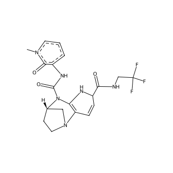 Cn1cccc(NC(=O)N2C3=C(C=CC(C(=O)NCC(F)(F)F)N3)N3CC[C@H]2C3)c1=O